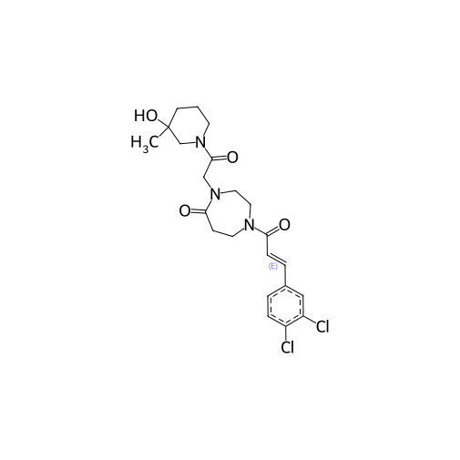 CC1(O)CCCN(C(=O)CN2CCN(C(=O)/C=C/c3ccc(Cl)c(Cl)c3)CCC2=O)C1